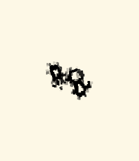 Fc1cccc2c(Nc3ccccc3C(F)(F)F)ccnc12